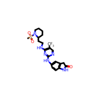 CS(=O)(=O)N1CCCCC1CCNc1nc(Nc2ccc3c(c2)CC(=O)N3)ncc1C(F)(F)F